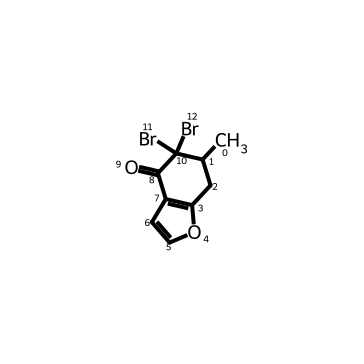 CC1Cc2occc2C(=O)C1(Br)Br